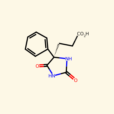 O=C(O)CC[C@]1(c2ccccc2)NC(=O)NC1=O